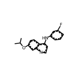 CC(C)Oc1ccc2c(Nc3cccc(F)c3)ccnc2c1